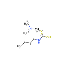 CCCCNC(=S)S.CN(C)C